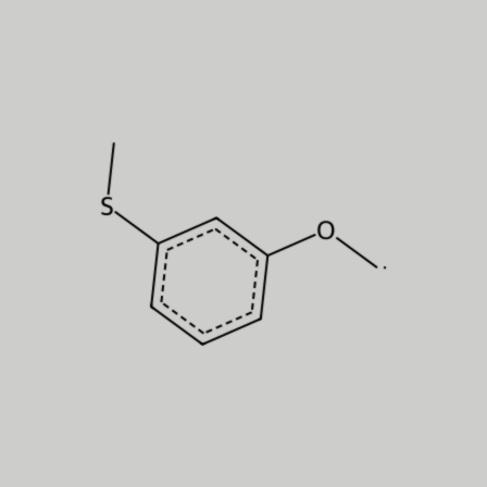 [CH2]Oc1cccc(SC)c1